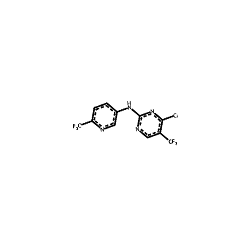 FC(F)(F)c1ccc(Nc2ncc(C(F)(F)F)c(Cl)n2)cn1